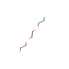 CC(C)(C)CCOCCOCCO